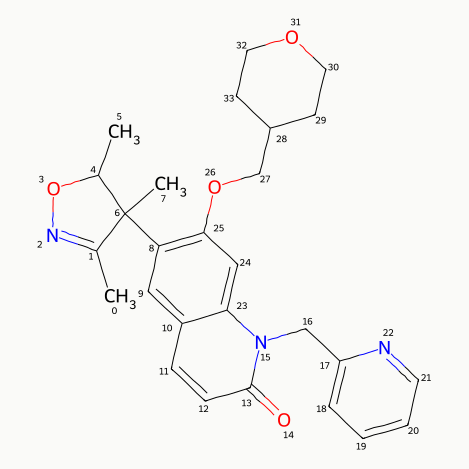 CC1=NOC(C)C1(C)c1cc2ccc(=O)n(Cc3ccccn3)c2cc1OCC1CCOCC1